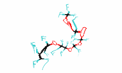 FC(F)=C(F)C(F)(F)OC(F)(F)C(F)(F)OC(F)(F)OC(F)(F)OC(F)(F)OC(F)(F)F